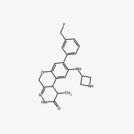 CC1C(=O)NN=C2COc3cc(-c4cccc(CF)c4)c(NC4CNC4)cc3N21